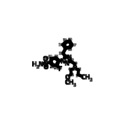 CCCN(CCOC)Cc1nc(Cc2ccccc2)n(-c2ccc(S(N)(=O)=O)cc2F)n1